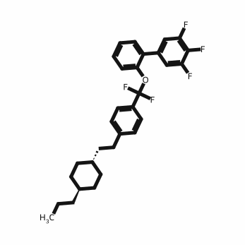 CCC[C@H]1CC[C@H](CCc2ccc(C(F)(F)Oc3ccccc3-c3cc(F)c(F)c(F)c3)cc2)CC1